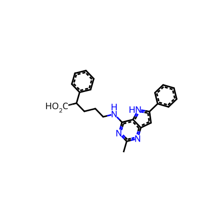 Cc1nc(NCCCC(C(=O)O)c2ccccc2)c2[nH]c(-c3ccccc3)cc2n1